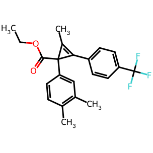 CCOC(=O)C1(c2ccc(C)c(C)c2)C(C)=C1c1ccc(C(F)(F)F)cc1